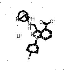 O=C([O-])c1cccc2c1c(CN[C@@H]1CN3CCC1CC3)nn2-c1ccc(F)cc1.[Li+]